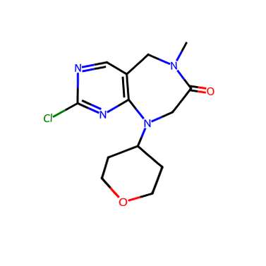 CN1Cc2cnc(Cl)nc2N(C2CCOCC2)CC1=O